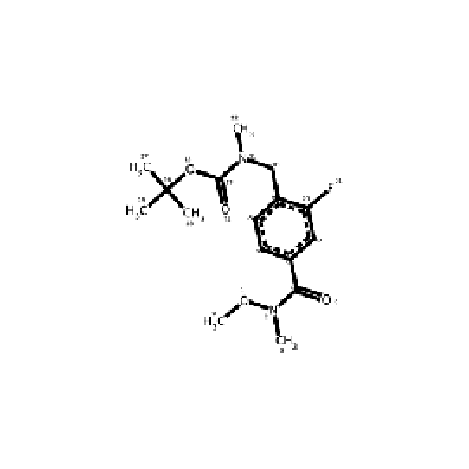 CON(C)C(=O)c1ccc(CN(C)C(=O)OC(C)(C)C)c(F)c1